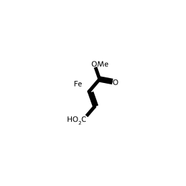 COC(=O)C=CC(=O)O.[Fe]